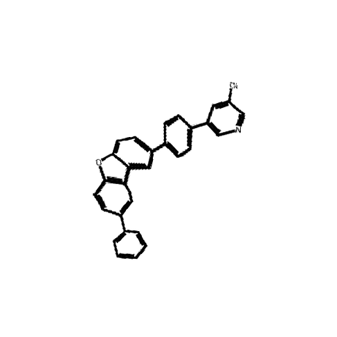 N#Cc1cncc(-c2ccc(-c3ccc4oc5ccc(-c6ccccc6)cc5c4c3)cc2)c1